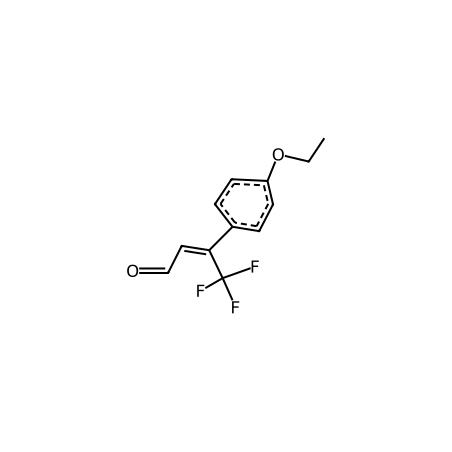 CCOc1ccc(C(=CC=O)C(F)(F)F)cc1